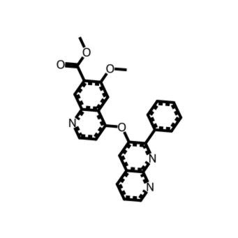 COC(=O)c1cc2nccc(Oc3cc4cccnc4nc3-c3ccccc3)c2cc1OC